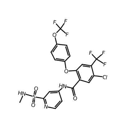 CNS(=O)(=O)c1cc(NC(=O)c2cc(Cl)c(C(F)(F)F)cc2Oc2ccc(OC(F)(F)F)cc2)ccn1